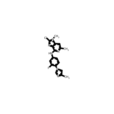 Cc1cn(-c2ccc(Nc3nc(C)cc4c3nc(Cl)n4C)cc2F)cn1